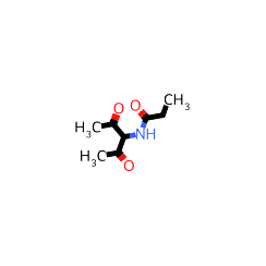 CCC(=O)NC(C(C)=O)C(C)=O